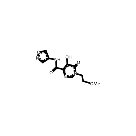 COCCn1cnc(C(=O)Nc2cnoc2)c(O)c1=O